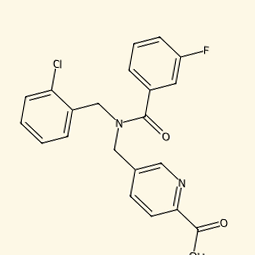 O=C(O)c1ccc(CN(Cc2ccccc2Cl)C(=O)c2cccc(F)c2)cn1